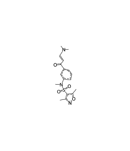 Cc1noc(C)c1S(=O)(=O)N(C)c1cccc(C(=O)C=CN(C)C)c1